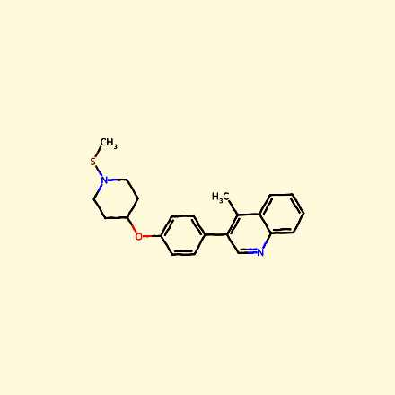 CSN1CCC(Oc2ccc(-c3cnc4ccccc4c3C)cc2)CC1